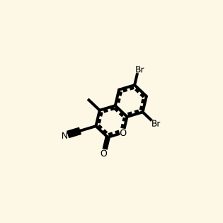 Cc1c(C#N)c(=O)oc2c(Br)cc(Br)cc12